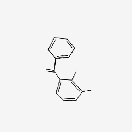 Cc1cccc(C(=O)c2ccccc2)c1O